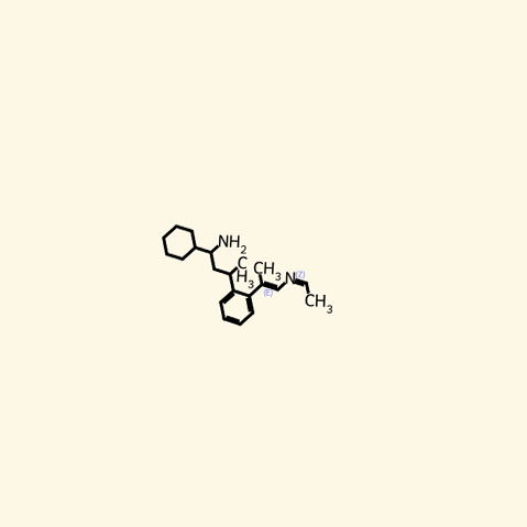 C/C=N\C=C(/C)c1ccccc1C(C)CC(N)C1CCCCC1